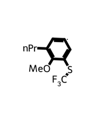 CCCc1c[c]cc(SC(F)(F)F)c1OC